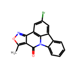 Cc1onc2c1c(=O)n1c3ccccc3c3cc(Br)cc2c31